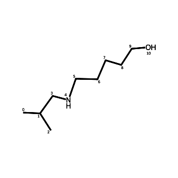 CC(C)CNCCCCCO